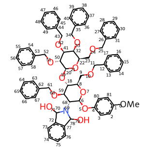 COc1ccc(O[C@@H]2O[C@H](COCc3ccccc3)[C@@H](O[C@@H]3O[C@H](COCc4ccccc4)[C@H](OCc4ccccc4)[C@H](OCc4ccccc4)[C@H]3OCc3ccccc3)[C@H](OCc3ccccc3)[C@H]2N2C(O)c3ccccc3C2O)cc1